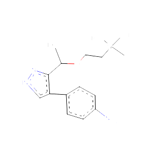 CC(OCC[Si](C)(C)C)c1n[nH]cc1-c1ccc(N)cc1